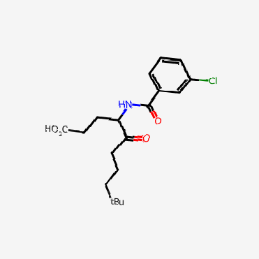 CC(C)(C)CCCC(=O)C(CCC(=O)O)NC(=O)c1cccc(Cl)c1